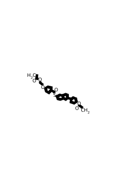 C=CC(=O)OCCOc1ccc(C(=O)Sc2ccc3cc(-c4ccc(OC(=O)C=C)cc4)ccc3c2)cc1